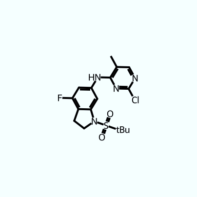 Cc1cnc(Cl)nc1Nc1cc(F)c2c(c1)N(S(=O)(=O)C(C)(C)C)CC2